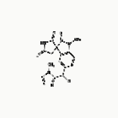 CC(=O)ON1C(=O)C2(CC(=O)NC2=O)c2cc(C(Cl)c3nccn3C)ccc21